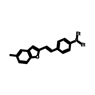 CCN(CC)c1ccc(C=Cc2cc3cc(C)ccc3o2)cc1